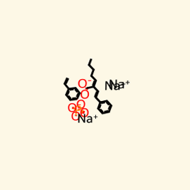 C=Cc1ccc(OP(=O)([O-])[O-])cc1.CCCCC=C(C=Cc1ccccc1)C(=O)[O-].[Na+].[Na+].[Na+]